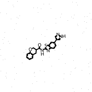 O=C(Nc1nc2ccc(-c3cn[nH]c3)cc2s1)C1COc2ccccc2C1